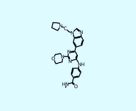 CNC(=O)c1ccc(Nc2cc(-c3ccc4ncn(CCN5CCCC5)c4c3)nc(N3CCOCC3)n2)cc1